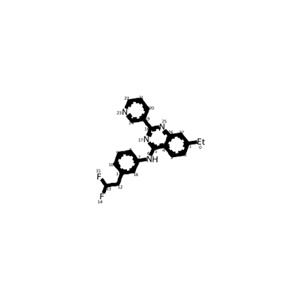 CCc1ccc2c(Nc3cccc(CC(F)F)c3)nc(-c3cccnc3)nc2c1